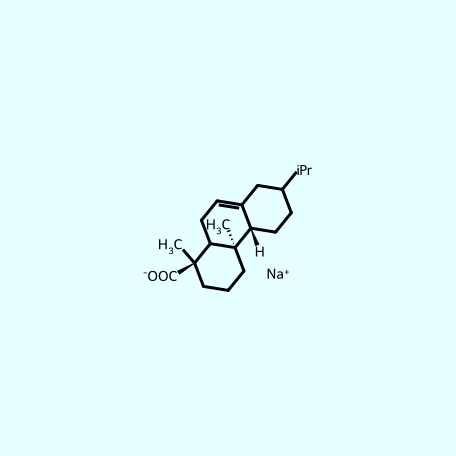 CC(C)C1CC[C@H]2C(=CCC3[C@](C)(C(=O)[O-])CCC[C@@]32C)C1.[Na+]